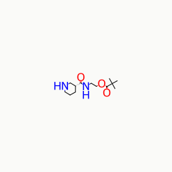 CC(C)(C)C(=O)OCCNC(=O)[C@@H]1CCCNC1